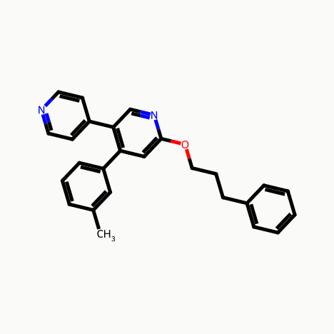 Cc1cccc(-c2cc(OCCCc3ccccc3)ncc2-c2ccncc2)c1